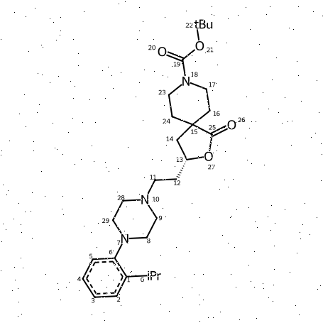 CC(C)c1ccccc1N1CCN(CC[C@@H]2CC3(CCN(C(=O)OC(C)(C)C)CC3)C(=O)O2)CC1